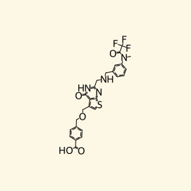 CN(C(=O)C(F)(F)F)c1cccc(CNCc2nc3scc(COCc4ccc(C(=O)O)cc4)c3c(=O)[nH]2)c1